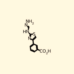 NN=CNc1nc(-c2cccc(C(=O)O)c2)cs1